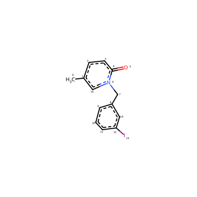 Cc1ccc(=O)n(Cc2cccc(I)c2)c1